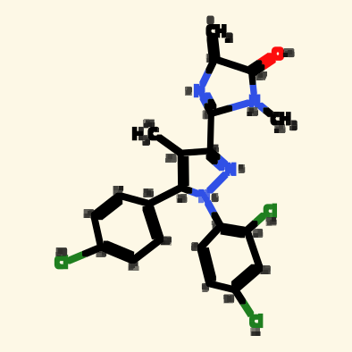 C=C1N=C(c2nn(-c3ccc(Cl)cc3Cl)c(-c3ccc(Cl)cc3)c2C)N(C)C1=O